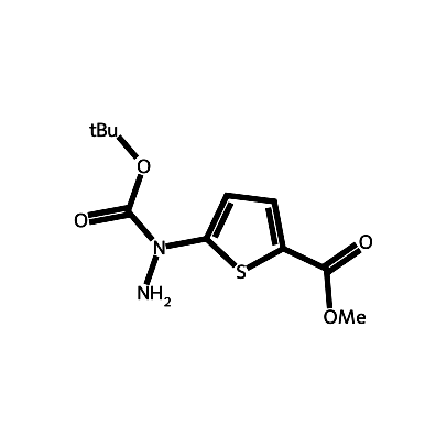 COC(=O)c1ccc(N(N)C(=O)OC(C)(C)C)s1